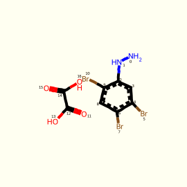 NNc1cc(Br)c(Br)cc1Br.O=C(O)C(=O)O